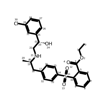 CCOC(=O)c1ccccc1S(=O)(=O)c1ccc(C[C@@H](C)NC[C@@H](O)c2cccc(Cl)c2)cc1